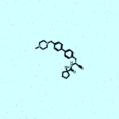 CN1CCN(Cc2ccc(-c3ccc(C[C@@H](C#N)NC(=O)C4(N)CCCC4)cc3)cc2)CC1